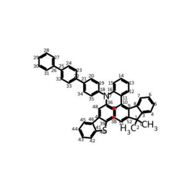 CC1(C)c2ccccc2-c2c(-c3ccccc3N(c3ccc(-c4ccc(-c5ccccc5)cc4)cc3)c3ccc4sc5ccccc5c4c3)cccc21